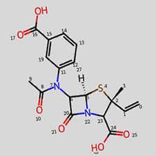 C=C[C@@]1(C)S[C@@H]2C(N(C(C)=O)c3cccc(C(=O)O)c3)C(=O)N2C1C(=O)O